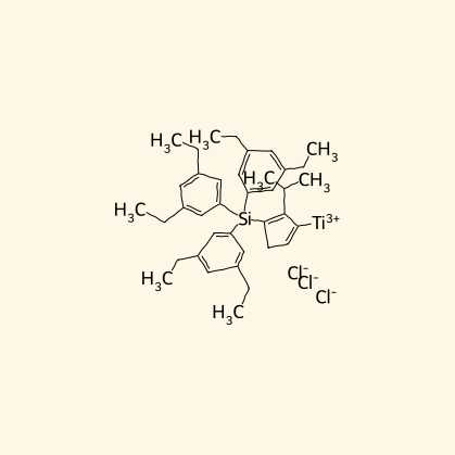 CCc1cc(CC)cc([Si](C2=C(C(C)C)[C]([Ti+3])=CC2)(c2cc(CC)cc(CC)c2)c2cc(CC)cc(CC)c2)c1.[Cl-].[Cl-].[Cl-]